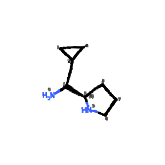 NC(C1CC1)[C@H]1CCCN1